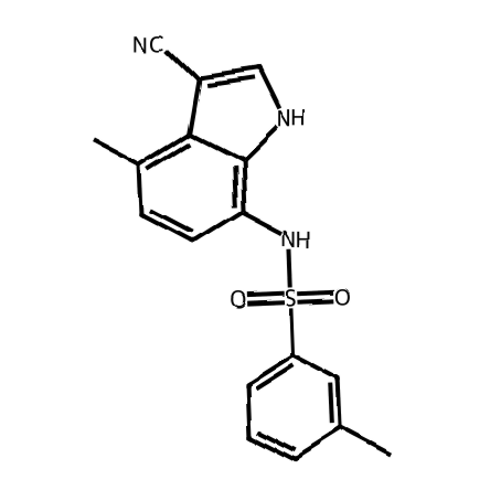 Cc1cccc(S(=O)(=O)Nc2ccc(C)c3c(C#N)c[nH]c23)c1